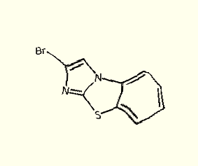 Brc1cn2c(n1)sc1ccccc12